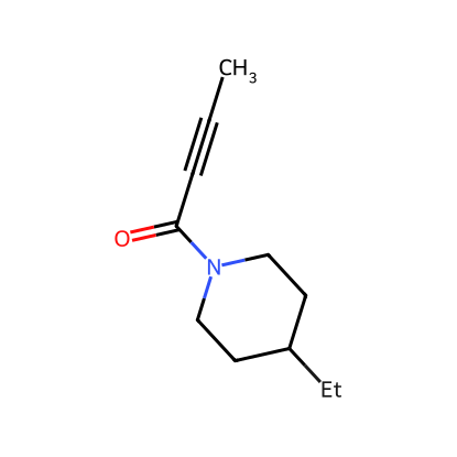 CC#CC(=O)N1CCC(CC)CC1